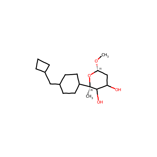 CO[C@@H]1CC(O)C(O)[C@@](C)(C2CCC(CC3CCC3)CC2)O1